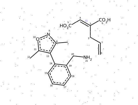 C=CC/C(=C\C(=O)O)C(=O)O.Cc1noc(C)c1-c1ccccc1CN